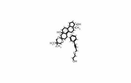 CC1(C)COC2(CCC3=C4C(CCC3(O)C2)C2CC[C@H](O)[C@@]2(C)C[C@@H]4c2ccc(C#CCOCCO)cc2)OC1